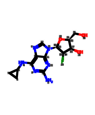 Nc1nc(NC2CC2)c2ncn([C@@H]3O[C@H](CO)[C@@H](O)[C@H]3F)c2n1